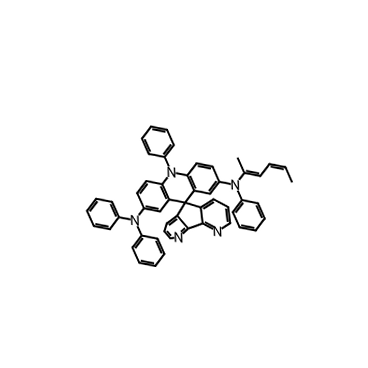 C/C=C\C=C(/C)N(c1ccccc1)c1ccc2c(c1)C1(c3cc(N(c4ccccc4)c4ccccc4)ccc3N2c2ccccc2)c2cccnc2-c2ncccc21